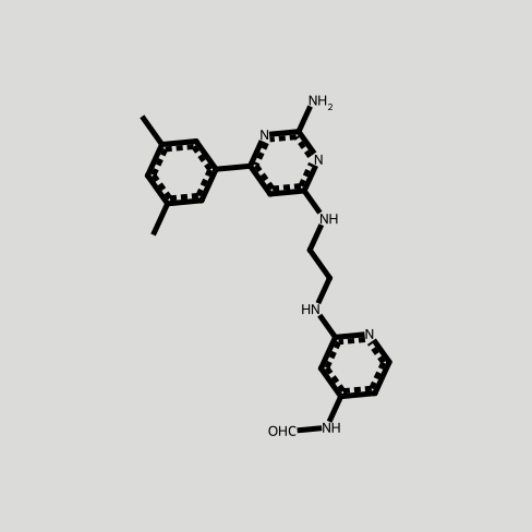 Cc1cc(C)cc(-c2cc(NCCNc3cc(NC=O)ccn3)nc(N)n2)c1